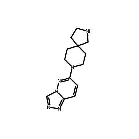 c1cc2nncn2nc1N1CCC2(CCNC2)CC1